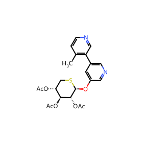 CC(=O)O[C@@H]1[C@@H](OC(C)=O)[C@H](OC(C)=O)CS[C@H]1Oc1cncc(-c2cnccc2C)c1